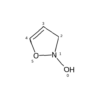 ON1CC=CO1